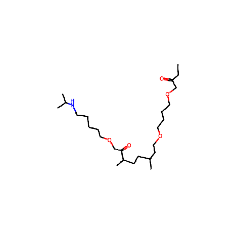 CCC(=O)COCCCCOCCC(C)CCC(C)C(=O)COCCCCCNC(C)C